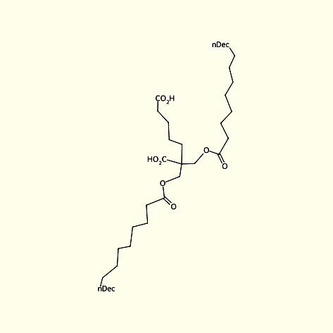 CCCCCCCCCCCCCCCCCC(=O)OCC(CCCCC(=O)O)(COC(=O)CCCCCCCCCCCCCCCCC)C(=O)O